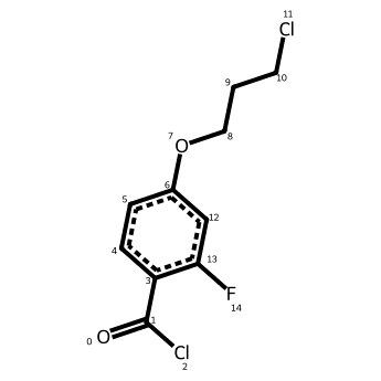 O=C(Cl)c1ccc(OCCCCl)cc1F